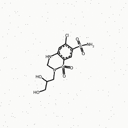 NS(=O)(=O)c1cc2c(cc1Cl)NCN(CC(O)CO)S2(=O)=O